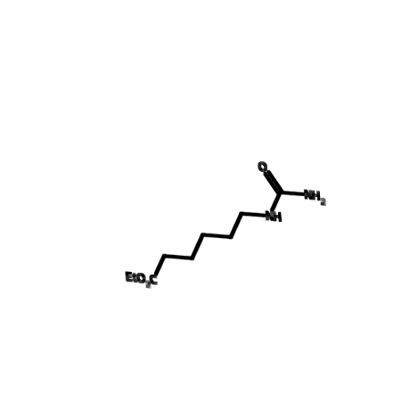 CCOC(=O)CCCCCNC(N)=O